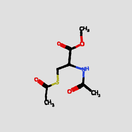 COC(=O)C(CSC(C)=O)NC(C)=O